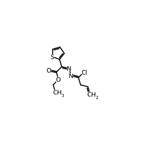 C=CCC(Cl)=NN=C(C(=O)OCC)c1cccs1